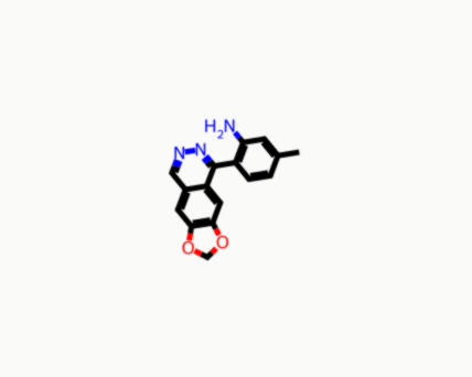 Cc1ccc(-c2nncc3cc4c(cc23)OCO4)c(N)c1